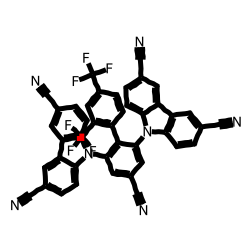 N#Cc1cc(-n2c3ccc(C#N)cc3c3cc(C#N)ccc32)c(-c2ccc(C(F)(F)F)cc2C(F)(F)F)c(-n2c3ccc(C#N)cc3c3cc(C#N)ccc32)c1